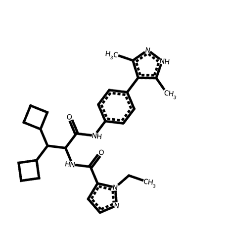 CCn1nccc1C(=O)NC(C(=O)Nc1ccc(-c2c(C)n[nH]c2C)cc1)C(C1CCC1)C1CCC1